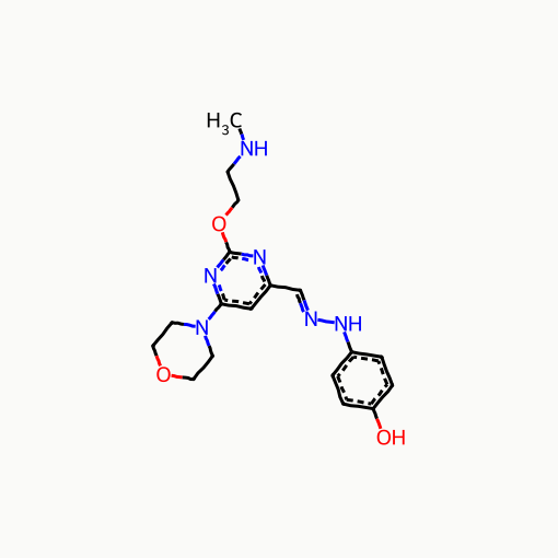 CNCCOc1nc(C=NNc2ccc(O)cc2)cc(N2CCOCC2)n1